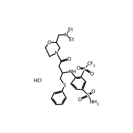 CCN(CC)CC1CN(C(=O)CC(CSc2ccccc2)Nc2ccc(S(N)(=O)=O)cc2S(=O)(=O)C(F)(F)F)CCO1.Cl